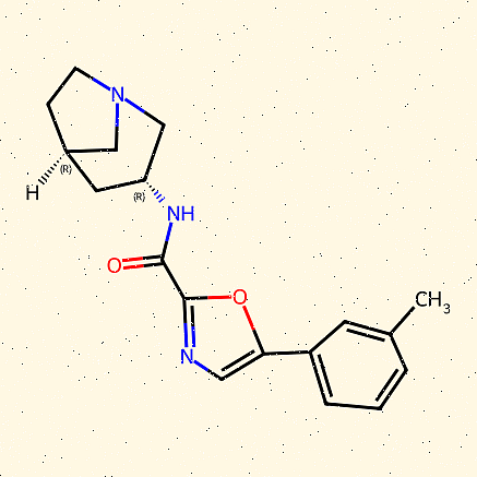 Cc1cccc(-c2cnc(C(=O)N[C@@H]3C[C@H]4CCN(C4)C3)o2)c1